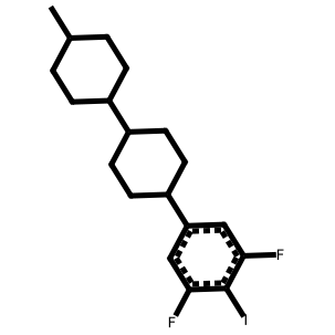 CC1CCC(C2CCC(c3cc(F)c(I)c(F)c3)CC2)CC1